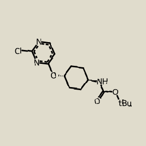 CC(C)(C)OC(=O)N[C@H]1CC[C@H](Oc2ccnc(Cl)n2)CC1